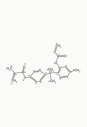 C=CC(=O)Oc1cc(C)ccc1C(C)(C)c1ccc(OC(=O)C(=C)C)cc1